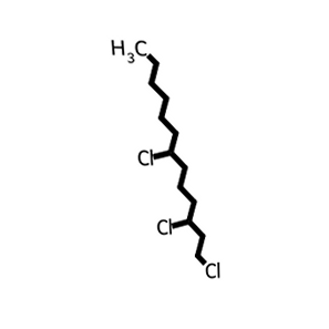 CCCCCCC(Cl)CCCC(Cl)CCCl